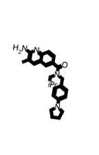 Cc1cc2cc(C(=O)N(Cc3ccc(N4CCCC4)cc3)CC(C)C)ccc2nc1N